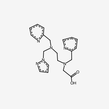 O=C(O)CN(CCN(Cc1ccccn1)Cn1cccn1)Cc1ccccn1